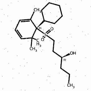 CCC[C@H](O)CCS(=O)(=O)[C@@]1(C2CCCCC2)C(C)=CC=CC1(C)C